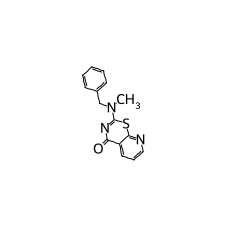 CN(Cc1ccccc1)c1nc(=O)c2cccnc2s1